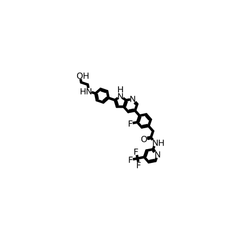 O=C(Cc1ccc(-c2cnc3[nH]c(-c4ccc(NCCO)cc4)cc3c2)c(F)c1)Nc1cc(C(F)(F)F)ccn1